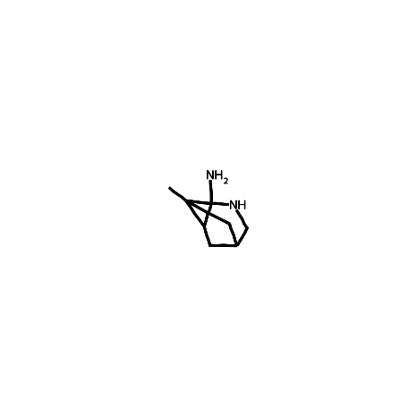 CC12CC3CNC1(N)C2C3